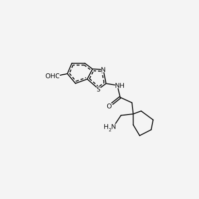 NCC1(CC(=O)Nc2nc3ccc(C=O)cc3s2)CCCCC1